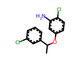 CC(Oc1ccc(Cl)c(N)c1)c1cccc(Cl)c1